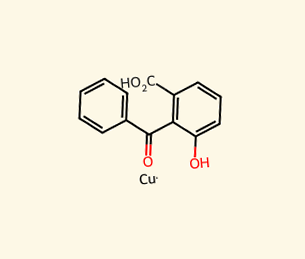 O=C(O)c1cccc(O)c1C(=O)c1ccccc1.[Cu]